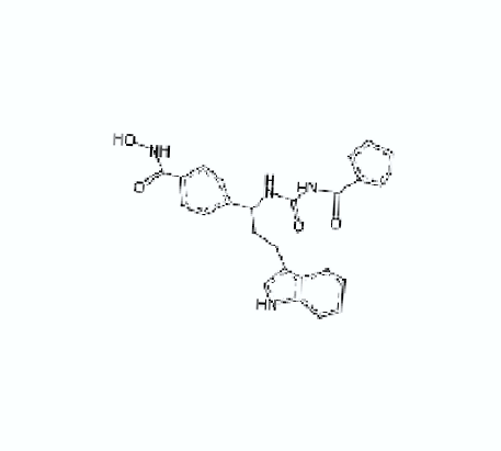 O=C(NC(=O)c1ccccc1)NC(CCc1c[nH]c2ccccc12)c1ccc(C(=O)NO)cc1